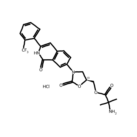 CC(C)(N)C(=O)OC[C@@H]1CN(c2ccc3cc(-c4ccccc4C(F)(F)F)[nH]c(=O)c3c2)C(=O)O1.Cl